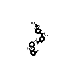 Cc1nc2ccc(-c3n[nH]c4ccc(C(=O)N[C@@H]5CCC[C@@](O)(Cc6c(F)cccc6F)C5)cc34)cc2s1